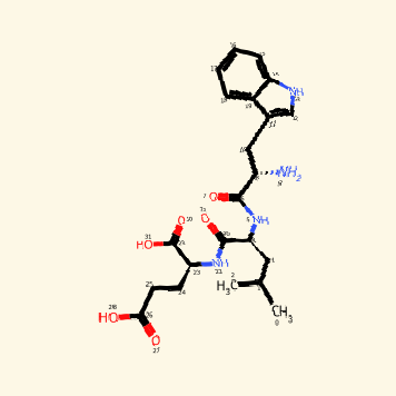 CC(C)C[C@H](NC(=O)[C@@H](N)Cc1c[nH]c2ccccc12)C(=O)N[C@@H](CCC(=O)O)C(=O)O